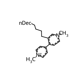 CCCCCCCCCCCCCCc1c[n+](C)ccc1-c1cc[n+](C)cc1